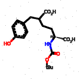 CC(C)(C)OC(=O)N[C@H](CCC(Cc1ccc(O)cc1)C(=O)O)C(=O)O